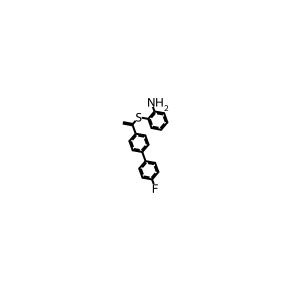 C=C(Sc1ccccc1N)c1ccc(-c2ccc(F)cc2)cc1